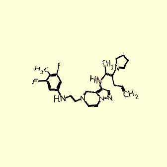 C=CCC(C(C)Nc1cnn2c1CN(CCNc1cc(F)c(C)c(F)c1)CC2)N1CCCC1